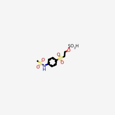 CS(=O)(=O)Nc1ccc(S(=O)(=O)CCOS(=O)(=O)O)cc1